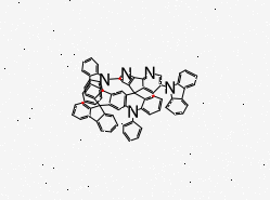 c1ccc(N2c3ccccc3C3(c4cc5c(cc42)C2(c4ccccc4-c4ccccc42)c2ccccc2-5)c2cc(-n4c5ccccc5c5ccccc54)cnc2-c2ncc(-n4c5ccccc5c5ccccc54)cc23)cc1